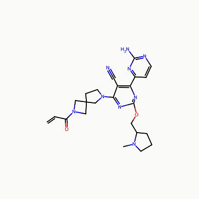 C=CC(=O)N1CC2(CCN(c3nc(OCC4CCCN4C)nc(-c4ccnc(N)n4)c3C#N)C2)C1